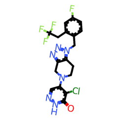 O=c1[nH]ncc(N2CCc3c(nnn3Cc3ccc(F)cc3CC(F)(F)F)C2)c1Cl